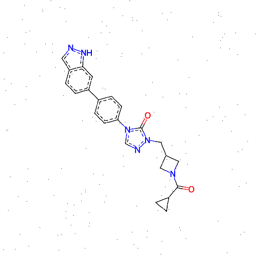 O=C(C1CC1)N1CC(Cn2ncn(-c3ccc(-c4ccc5cn[nH]c5c4)cc3)c2=O)C1